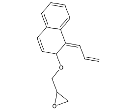 C=CC=C1c2ccccc2C=CC1OCC1CO1